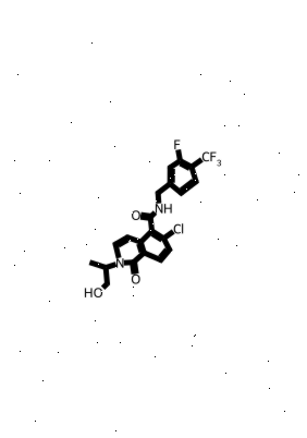 CC(CO)n1ccc2c(C(=O)NCc3ccc(C(F)(F)F)c(F)c3)c(Cl)ccc2c1=O